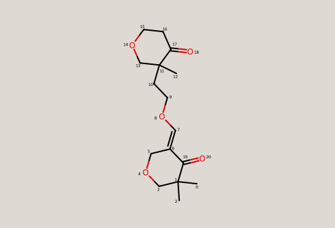 CC1(C)COC/C(=C\OCCC2(C)COCCC2=O)C1=O